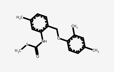 CSC(=O)Nc1cc(C)ccc1COc1ccc(C)cc1C